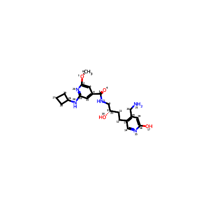 COc1cc(C(=O)NC[C@@H](O)CCc2cnc(O)cc2CN)cc(NC2CCC2)n1